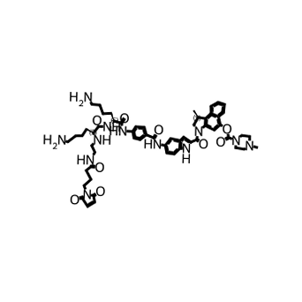 C[C@@H]1CN(C(=O)c2cc3cc(NC(=O)c4ccc(NC(=O)[C@H](CCCCN)NC(=O)[C@H](CCCCN)NCCNC(=O)CCCN5C(=O)C=CC5=O)cc4)ccc3[nH]2)c2cc(OC(=O)N3CCN(C)CC3)c3ccccc3c21